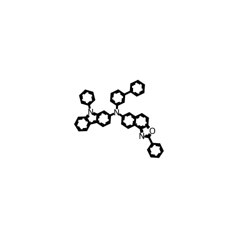 c1ccc(-c2cccc(N(c3ccc4c(ccc5oc(-c6ccccc6)nc54)c3)c3ccc4c5ccccc5n(-c5ccccc5)c4c3)c2)cc1